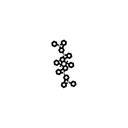 CC1(c2ccccc2)c2ccc3c(c2C(C)(c2ccccc2)c2ccc4c(c21)c1ccccc1n4-c1ccc2c(c1)c1ccccc1n2-c1ccccc1)c1ccccc1n3-c1ccc2c(c1)c1ccccc1n2-c1ccccc1